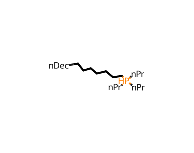 CCCCCCCCCCCCCCCCC[PH](CCC)(CCC)CCC